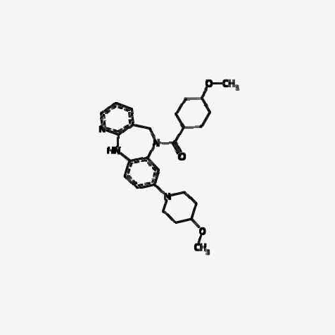 COC1CCC(C(=O)N2Cc3cccnc3Nc3ccc(N4CCC(OC)CC4)cc32)CC1